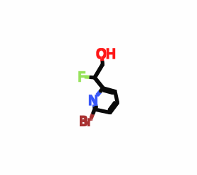 OCC(F)c1cccc(Br)n1